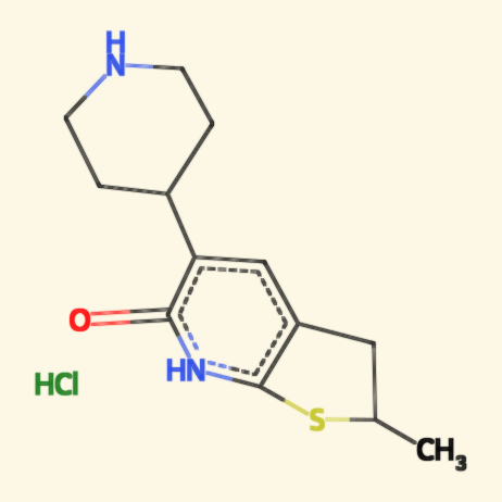 CC1Cc2cc(C3CCNCC3)c(=O)[nH]c2S1.Cl